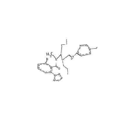 CN(C(=O)c1c(F)cccc1-n1nccn1)C(CCI)C(CCI)COc1ccc(F)cn1